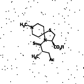 CC(=O)C[C@H](C)C(=S)N1[C@H](C(=O)O)CSC12CCN(C)CC2